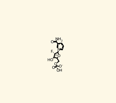 NC(=O)c1ccc[n+](C2OC(COP(=O)([O-])O)[C@@H](O)[C@@H]2F)c1